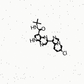 CC(C)(C)NC(=O)c1c[nH]c2ncc(-c3ncn4cc(Cl)ccc34)nc12